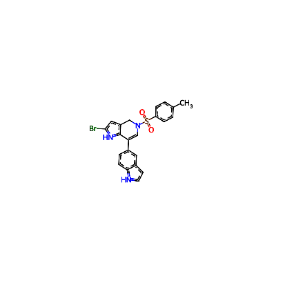 Cc1ccc(S(=O)(=O)N2C=C(c3ccc4[nH]ccc4c3)c3[nH]c(Br)cc3C2)cc1